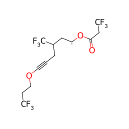 O=C(CC(F)(F)F)O[CH]CC(CC#COCCC(F)(F)F)C(F)(F)F